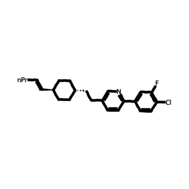 CCCC=C[C@H]1CC[C@H](CCc2ccc(-c3ccc(Cl)c(F)c3)nc2)CC1